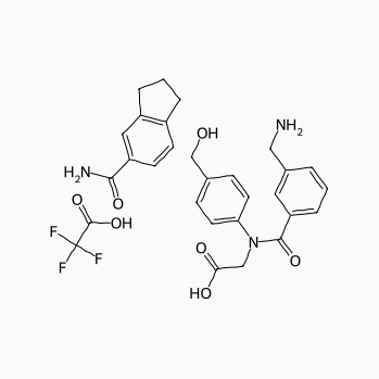 NC(=O)c1ccc2c(c1)CCC2.NCc1cccc(C(=O)N(CC(=O)O)c2ccc(CO)cc2)c1.O=C(O)C(F)(F)F